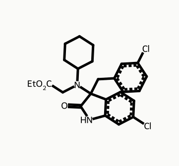 CCOC(=O)CN(C1CCCCC1)C1(Cc2cccc(Cl)c2)C(=O)Nc2cc(Cl)ccc21